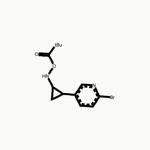 CC(C)(C)C(=O)ONC1CC1c1ccc(Br)nc1